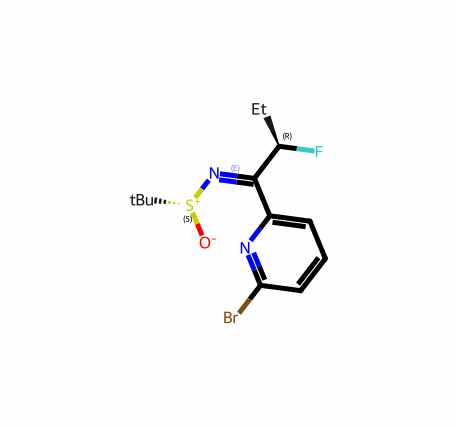 CC[C@@H](F)/C(=N/[S@+]([O-])C(C)(C)C)c1cccc(Br)n1